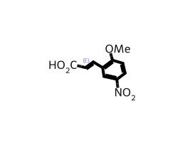 COc1ccc([N+](=O)[O-])cc1/C=C/C(=O)O